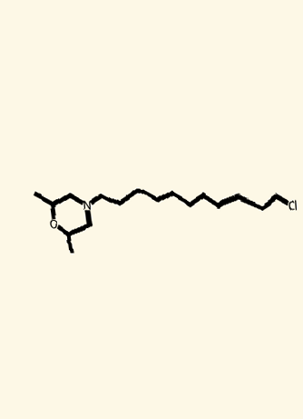 CC1CN(CCCCCCCCCCCCl)CC(C)O1